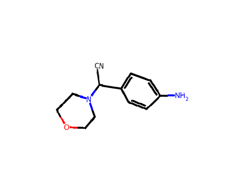 N#CC(c1ccc(N)cc1)N1CCOCC1